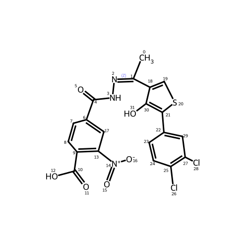 C/C(=N/NC(=O)c1ccc(C(=O)O)c([N+](=O)[O-])c1)c1csc(-c2ccc(Cl)c(Cl)c2)c1O